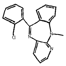 CN1c2ccccc2C(c2ccccc2Cl)=Nc2cccnc21